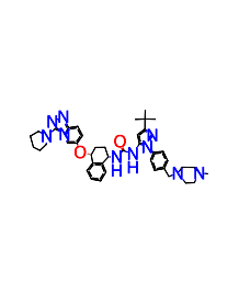 CN1CCN(Cc2ccc(-n3nc(C(C)(C)C)cc3NC(=O)N[C@H]3CC[C@@H](Oc4ccc5nnc(N6CCCCC6)n5c4)c4ccccc43)cc2)CC1